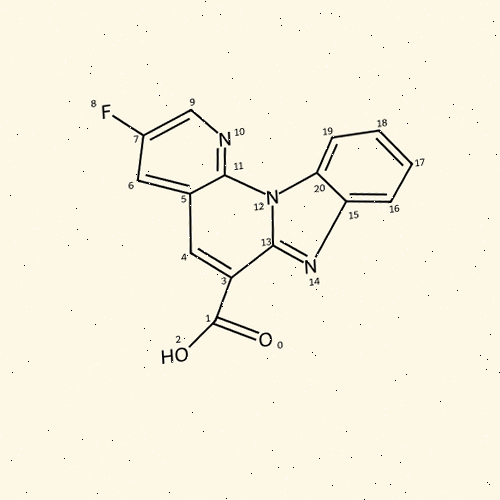 O=C(O)c1cc2cc(F)cnc2n2c1nc1ccccc12